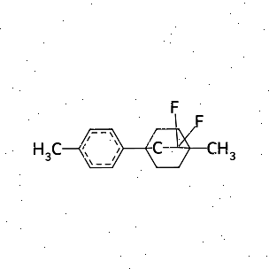 Cc1ccc(C23CCC(C)(CC2)C(F)(F)C3)cc1